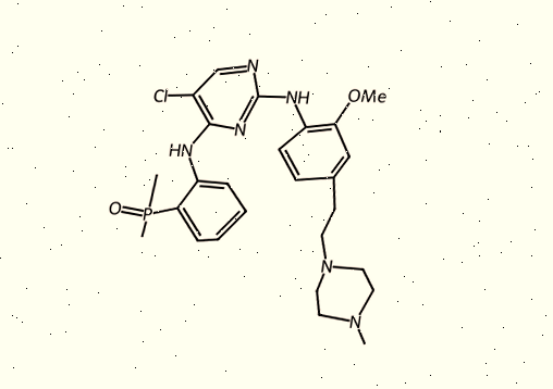 COc1cc(CCN2CCN(C)CC2)ccc1Nc1ncc(Cl)c(Nc2ccccc2P(C)(C)=O)n1